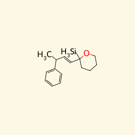 CC(C=CC1([SiH3])CCCCO1)c1ccccc1